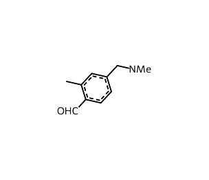 CNCc1ccc(C=O)c(C)c1